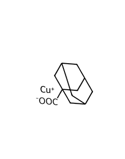 O=C([O-])C12CC3CC(CC(C3)C1)C2.[Cu+]